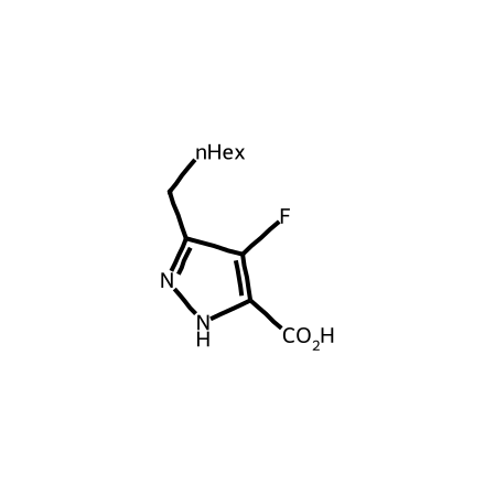 CCCCCCCc1n[nH]c(C(=O)O)c1F